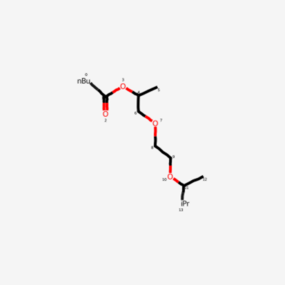 CCCCC(=O)OC(C)COCCOC(C)C(C)C